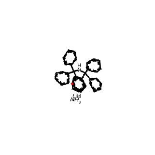 N.[LiH].c1ccc(C(NC(c2ccccc2)(c2ccccc2)c2ccccc2)(c2ccccc2)c2ccccc2)cc1